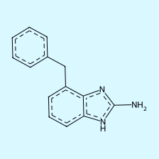 Nc1nc2c(Cc3ccccc3)cccc2[nH]1